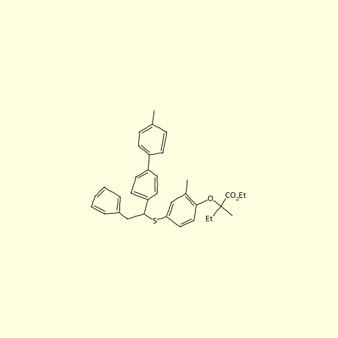 CCOC(=O)C(C)(CC)Oc1ccc(SC(Cc2ccccc2)c2ccc(-c3ccc(C)cc3)cc2)cc1C